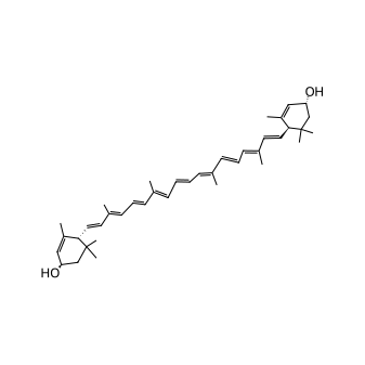 CC1=C[C@H](O)CC(C)(C)[C@H]1/C=C/C(C)=C/C=C/C(C)=C/C=C/C=C(C)/C=C/C=C(C)/C=C/[C@H]1C(C)=C[C@H](O)CC1(C)C